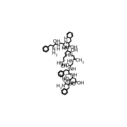 C=C(CN[C@@H](O)C(CCCCNC)NC(O)C(CC1C=CC=CC1)NC(O)CNC(O)C(N)Cc1ccccc1)NCC(O)NC(Cc1ccccc1)C(C)N[C@@H](CC(O)O)C(O)N[C@@H](Cc1ccccc1)C(N)O